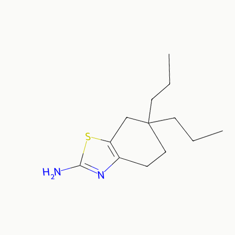 CCCC1(CCC)CCc2nc(N)sc2C1